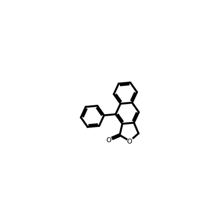 O=C1OCc2cc3ccccc3c(-c3ccccc3)c21